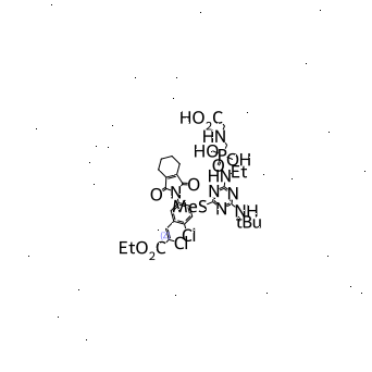 CCNc1nc(NC(C)(C)C)nc(SC)n1.CCOC(=O)/C(Cl)=C/c1cc(N2C(=O)C3=C(CCCC3)C2=O)ccc1Cl.O=C(O)CNCP(=O)(O)O